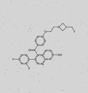 O=C(c1ccc(OCCN2CC(CF)C2)cc1)c1c(-c2ccc(F)cc2F)cnc2cc(O)ccc12